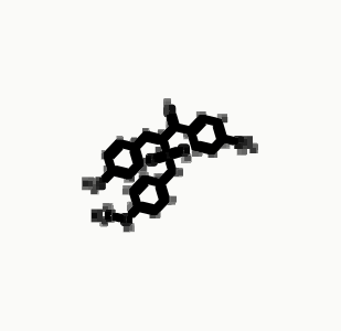 Bc1ccc(/C=C(/C(=O)c2ccc(B)cc2)S(=O)(=O)Cc2ccc(OC)cc2)cc1